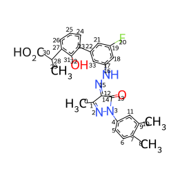 CC1=NN(c2ccc(C)c(C)c2)C(=O)C1=NNc1cc(F)cc(-c2cccc(C(C)C(=O)O)c2O)c1